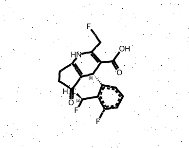 C[C@H](F)c1c(F)cccc1[C@H]1C(C(=O)O)=C(CF)NC2=C1C(=O)CC2